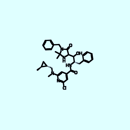 C[C@H]1C[C@@H]1CN(C)c1cc(C(=O)N[C@@H](Cc2ccccc2)C(O)C2NC(C)(C)N(Cc3ccccc3)C2=O)cc(Cl)n1